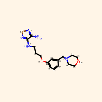 Nc1nsnc1NCCCOc1cccc(CN2CCOCC2)c1